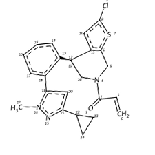 C=CC(=O)N1Cc2sc(Cl)cc2[C@H](c2ccccc2-c2cc(C3CC3)nn2C)C1